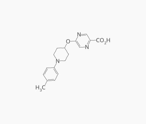 Cc1ccc(N2CCC(Oc3cnc(C(=O)O)cn3)CC2)cc1